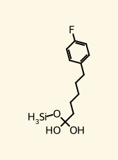 OC(O)(CCCCCc1ccc(F)cc1)O[SiH3]